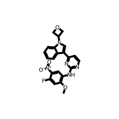 COc1cc(F)c([N+](=O)[O-])cc1Nc1nccc(-c2cn(C3COC3)c3ccccc23)n1